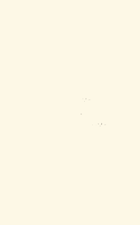 CCC(O)C[SiH](OC)OC